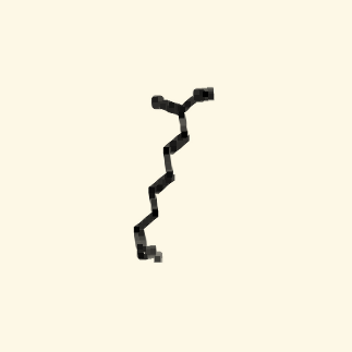 C=CC/C=C/C=C/C(=O)O